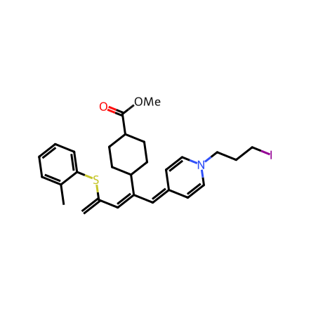 C=C(/C=C(/C=C1C=CN(CCCI)C=C1)C1CCC(C(=O)OC)CC1)Sc1ccccc1C